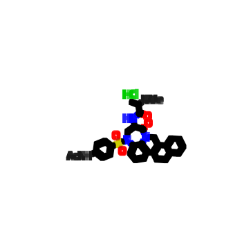 CNC(C)C(=O)NC1CN(S(=O)(=O)c2ccc(NC(C)=O)cc2)c2ccccc2N(Cc2c(C)ccc3ccccc23)C1=O.Cl